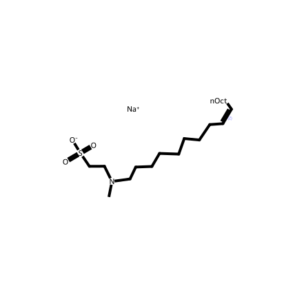 CCCCCCCC/C=C\CCCCCCCCN(C)CCS(=O)(=O)[O-].[Na+]